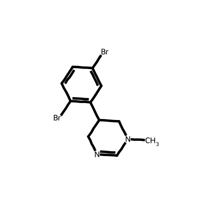 CN1C=NCC(c2cc(Br)ccc2Br)C1